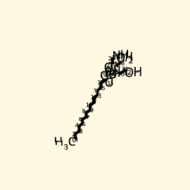 CCCCCCCCCCCCCCCCCC(=O)OB(OCCN)ON(CCO)CCO